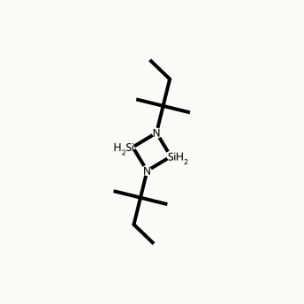 CCC(C)(C)N1[SiH2]N(C(C)(C)CC)[SiH2]1